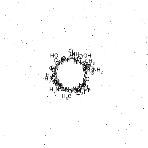 CCCC[C@H]1C(=O)N2CCC[C@@H]2C(=O)N2C[C@H](N)C[C@H]2C(=O)N[C@@H](C(C)C)C(=O)N(C)[C@@H](Cc2ccccc2)C(=O)N[C@@H](Cc2ccc(O)cc2)C(=O)N2CC[C@@H]2C(=O)N[C@@H](Cc2c[nH]c3ccccc23)C(=O)N[C@@H](Cc2ccc(O)cc2)C(=O)N[C@@H](CC(C)C)C(=O)N[C@H](C(=O)NCC(N)=O)CSCC(=O)N[C@@H](Cc2cc(F)c(F)c(F)c2)C(=O)N(C)[C@@H](Cc2ccccc2)C(=O)N1C